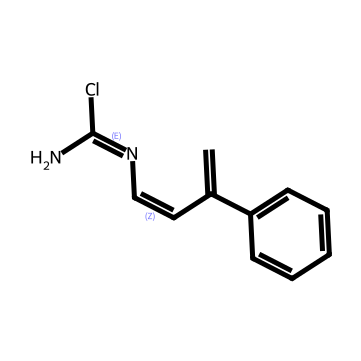 C=C(/C=C\N=C(/N)Cl)c1ccccc1